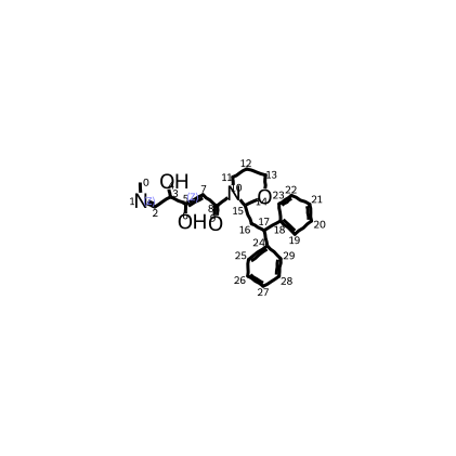 C/N=C\C(O)/C(O)=C/C(=O)N1CCCOC1CC(c1ccccc1)c1ccccc1